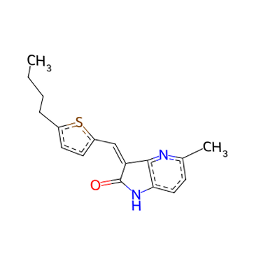 CCCCc1ccc(C=C2C(=O)Nc3ccc(C)nc32)s1